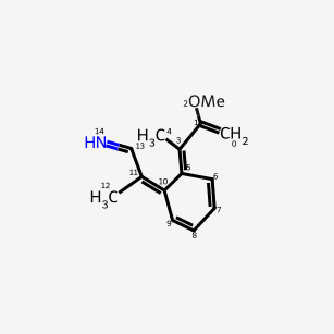 C=C(OC)/C(C)=c1\cccc\c1=C(/C)C=N